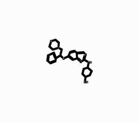 OC1CCC(Nc2ncc3ccc(OC(CN4CCOCC4)c4ccccc4)cc3n2)CC1